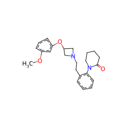 COc1cccc(OC2CN(CCc3ccccc3N3CCCCC3=O)C2)c1